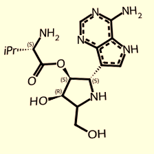 CC(C)[C@H](N)C(=O)O[C@@H]1[C@H](O)C(CO)N[C@H]1c1c[nH]c2c(N)ncnc12